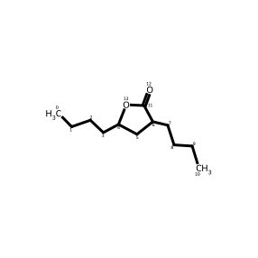 CCCCC1CC(CCCC)C(=O)O1